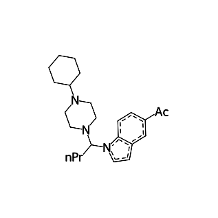 CCCC(N1CCN(C2CCCCC2)CC1)n1ccc2cc(C(C)=O)ccc21